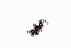 COc1ccc2c(c1)C13C(CNCC4CC4)C(C2)C12CCC1C3[C@@H](CN1C(=O)N1CCNC(=O)C1)C2